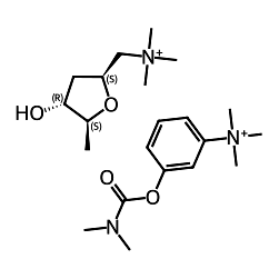 CN(C)C(=O)Oc1cccc([N+](C)(C)C)c1.C[C@@H]1O[C@H](C[N+](C)(C)C)C[C@H]1O